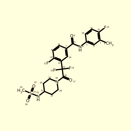 Cc1cc(NC(=O)c2ccc(F)c(C(F)(F)C(=O)N3CCC(NS(C)(=O)=O)CC3)c2)ccc1F